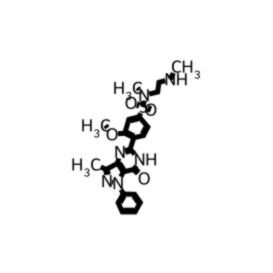 CNCCN(C)S(=O)(=O)c1ccc(-c2nc3c(C)nn(-c4ccccc4)c3c(=O)[nH]2)c(OC)c1